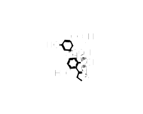 CC1(C(=O)O)C=C(O)C=C(C(=O)O)C1.Cc1cccc(S(C)(=O)=O)c1C1=NOCC1